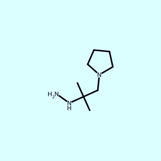 CC(C)(CN1CCCC1)NN